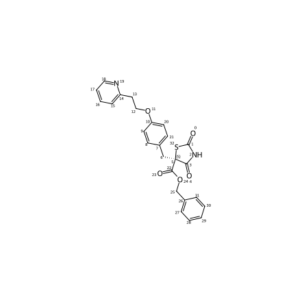 O=C1NC(=O)[C@@](Cc2ccc(OCCc3ccccn3)cc2)(C(=O)OCc2ccccc2)S1